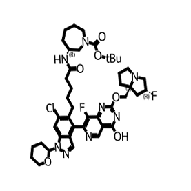 CC(C)(C)OC(=O)N1CCCC[C@@H](NC(=O)CCCCc2c(Cl)cc3c(cnn3C3CCCCO3)c2-c2ncc3c(O)nc(OC[C@@]45CCCN4C[C@H](F)C5)nc3c2F)C1